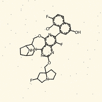 Oc1cc(-c2nc3c4c(nc(OCC56CCCN5CC(F)C6)nc4c2F)N2CC4CCC(N4)C2CO3)c2c(Cl)c(F)ccc2c1